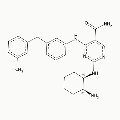 Cc1cccc(Cc2cccc(Nc3nc(N[C@@H]4CCCC[C@@H]4N)ncc3C(N)=O)c2)c1